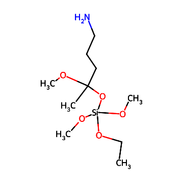 CCO[Si](OC)(OC)OC(C)(CCCN)OC